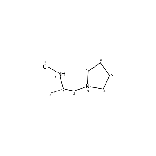 C[C@@H](CN1CCCC1)NCl